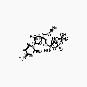 [N-]=[N+]=NC[C@@]1(COP(=O)(O)OP(=O)(O)OP(=O)(O)O)C[C@@H](F)[C@H](n2ccc(N)nc2=O)O1